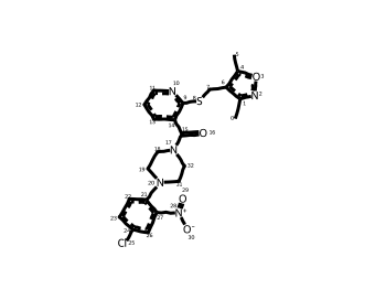 Cc1noc(C)c1CSc1ncccc1C(=O)N1CCN(c2ccc(Cl)cc2[N+](=O)[O-])CC1